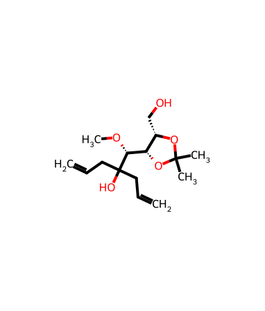 C=CCC(O)(CC=C)[C@H](OC)[C@H]1OC(C)(C)O[C@H]1CO